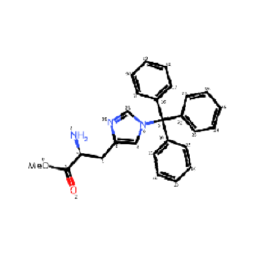 COC(=O)[C@@H](N)Cc1cn(C(c2ccccc2)(c2ccccc2)c2ccccc2)cn1